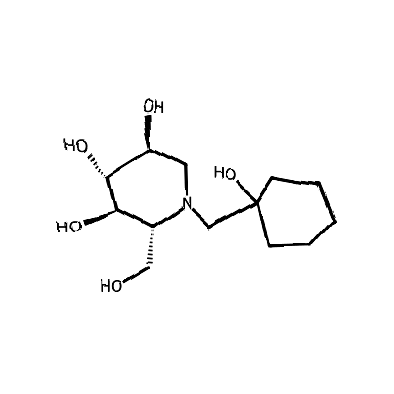 OC[C@@H]1[C@@H](O)[C@H](O)[C@@H](O)CN1CC1(O)CCCCC1